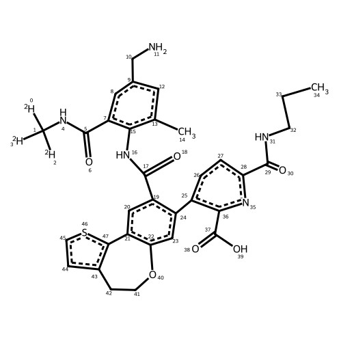 [2H]C([2H])([2H])NC(=O)c1cc(CN)cc(C)c1NC(=O)c1cc2c(cc1-c1ccc(C(=O)NCCC)nc1C(=O)O)OCCc1ccsc1-2